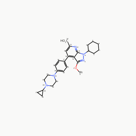 CC(C)Oc1nn(C2CCCCC2)c2nc(C(=O)O)cc(-c3ccc(N4CCN(C5CC5)CC4)cc3)c12